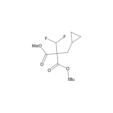 COC(=O)C(CC1CC1)(C(=O)OC(C)(C)C)C(F)F